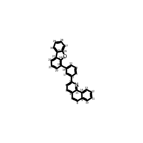 c1cc(-c2ccc3ccc4ccccc4c3n2)cc(-c2cccc3c2oc2ccccc23)c1